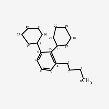 CCCCc1cccc(C2CCCCC2)c1C1CCCCC1